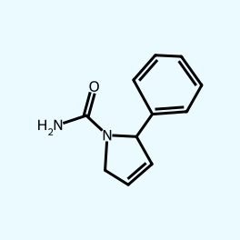 NC(=O)N1CC=CC1c1ccccc1